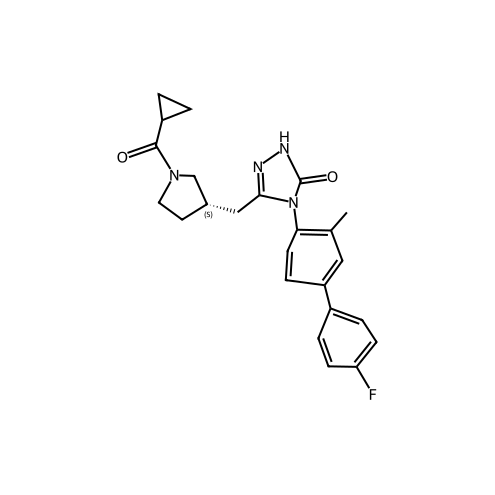 Cc1cc(-c2ccc(F)cc2)ccc1-n1c(C[C@@H]2CCN(C(=O)C3CC3)C2)n[nH]c1=O